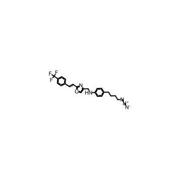 [N-]=[N+]=NCCCCc1ccc(NCc2coc(/C=C/c3ccc(C(F)(F)F)cc3)n2)cc1